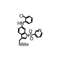 CNCc1cn(S(=O)(=O)c2cccnc2)c2cc(Nc3ccccc3Cl)ccc12